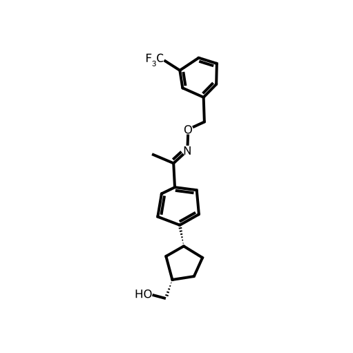 C/C(=N\OCc1cccc(C(F)(F)F)c1)c1ccc([C@@H]2CC[C@H](CO)C2)cc1